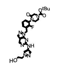 CC(C)(C)OC(=O)N1CCN(c2cccc(Cn3ncc4cnc(Nc5cnn(CCO)c5)nc43)c2F)C(=O)C1